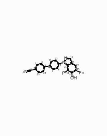 N#Cc1ccc(-c2ccc(-n3ncc4cc(F)c(O)c(F)c43)cc2)cc1